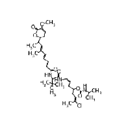 COC1=CCC(C(C)/C=C(C)/C=C/C=C/C(=O)NC(C(=O)N/C=C\CC(C/C=C(\C)Cl)OC(=O)NC(C)C)C(C)(C)C)OC1=O